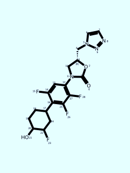 O=C1O[C@@H](Cn2ccnn2)CN1c1cc(F)c(C2CCC(O)C(F)C2)c(F)c1F